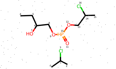 CC(C)Cl.CCC(O)CO[PH](=O)OCC(C)Cl